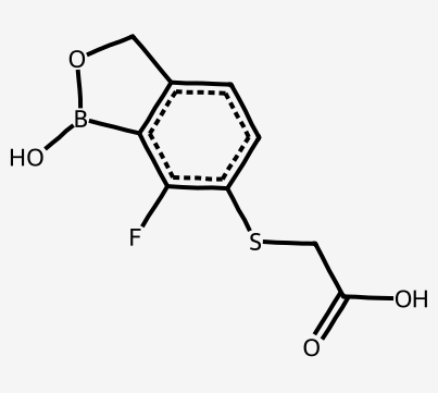 O=C(O)CSc1ccc2c(c1F)B(O)OC2